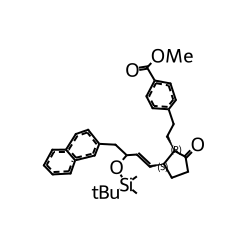 COC(=O)c1ccc(CC[C@H]2C(=O)CC[C@H]2C=CC(Cc2ccc3ccccc3c2)O[Si](C)(C)C(C)(C)C)cc1